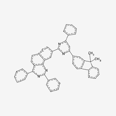 CC1(C)c2ccccc2-c2ccc(-c3cc(-c4ccccc4)nc(-c4ccc5ccc6c(-c7ccccc7)nc(-c7ccccc7)nc6c5c4)n3)cc21